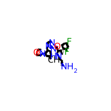 Cc1ccc(Cn2ccnc2NC(=O)C2CN(CCCN)C[C@H]2c2ccc(F)cc2F)c(N2CCOCC2)c1